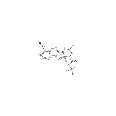 CC1CN(C(=O)OC(C)(C)C)S(=O)(=O)N(c2ccc3c(C#N)nccc3c2)C1